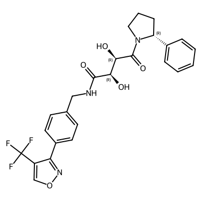 O=C(NCc1ccc(-c2nocc2C(F)(F)F)cc1)[C@H](O)[C@@H](O)C(=O)N1CCC[C@@H]1c1ccccc1